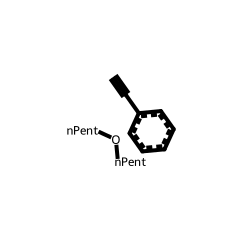 C#Cc1ccccc1.CCCCCOCCCCC